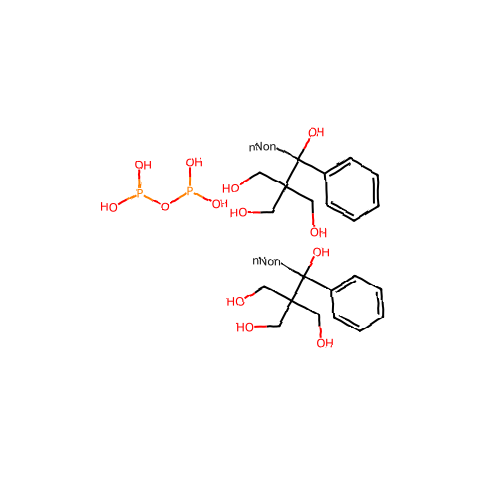 CCCCCCCCCC(O)(c1ccccc1)C(CO)(CO)CO.CCCCCCCCCC(O)(c1ccccc1)C(CO)(CO)CO.OP(O)OP(O)O